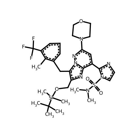 Cc1c(Cc2c(CO[Si](C)(C)C(C)(C)C)nc3c(-c4nccn4S(=O)(=O)N(C)C)cc(N4CCOCC4)nn23)cccc1C(F)(F)F